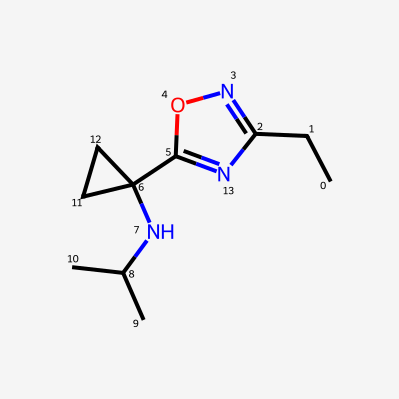 CCc1noc(C2(NC(C)C)CC2)n1